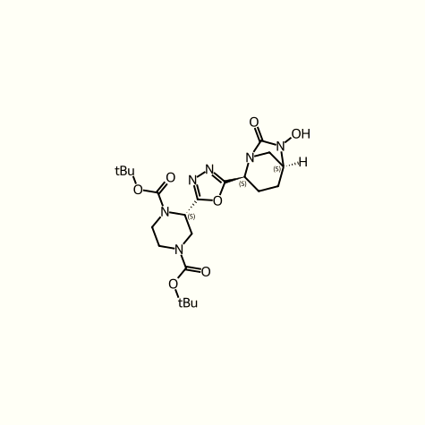 CC(C)(C)OC(=O)N1CCN(C(=O)OC(C)(C)C)[C@H](c2nnc([C@@H]3CC[C@H]4CN3C(=O)N4O)o2)C1